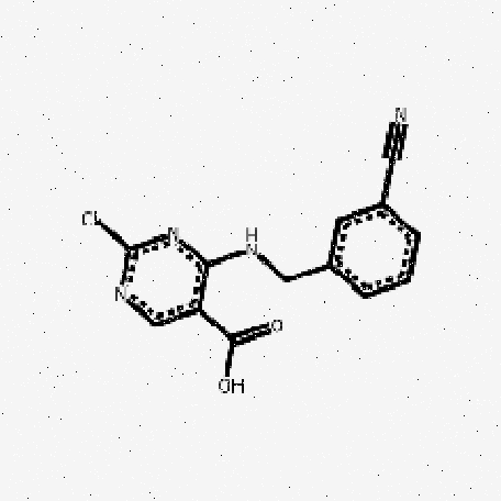 N#Cc1cccc(CNc2nc(Cl)ncc2C(=O)O)c1